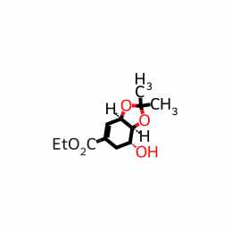 CCOC(=O)C1=C[C@H]2OC(C)(C)O[C@H]2[C@H](O)C1